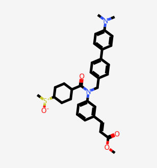 COC(=O)/C=C/c1cccc(N(Cc2ccc(-c3ccc(N(C)C)cc3)cc2)C(=O)C2CCC([S+](C)[O-])CC2)c1